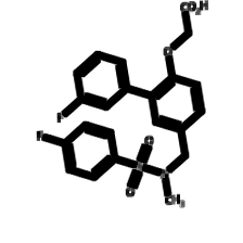 CN(Cc1ccc(OCC(=O)O)c(-c2cccc(F)c2)c1)S(=O)(=O)c1ccc(F)cc1